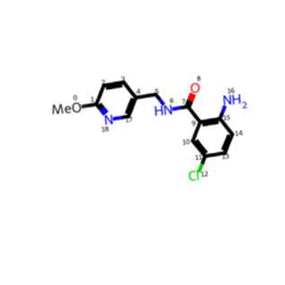 COc1ccc(CNC(=O)c2cc(Cl)ccc2N)cn1